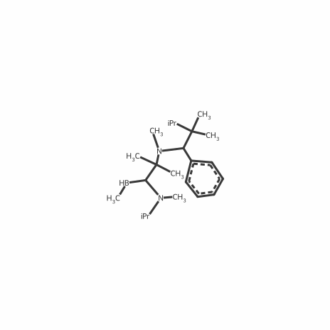 CBC(N(C)C(C)C)C(C)(C)N(C)C(c1ccccc1)C(C)(C)C(C)C